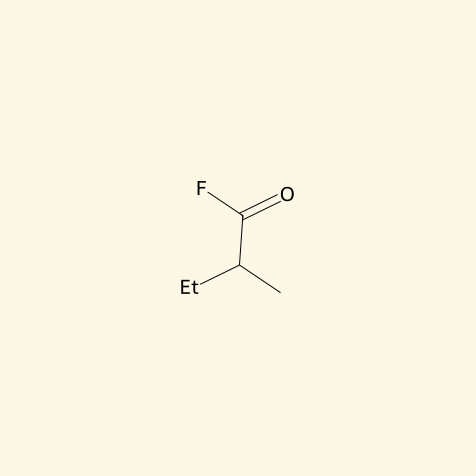 CCC(C)C(=O)F